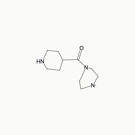 O=C(C1CCNCC1)N1CC[N]CC1